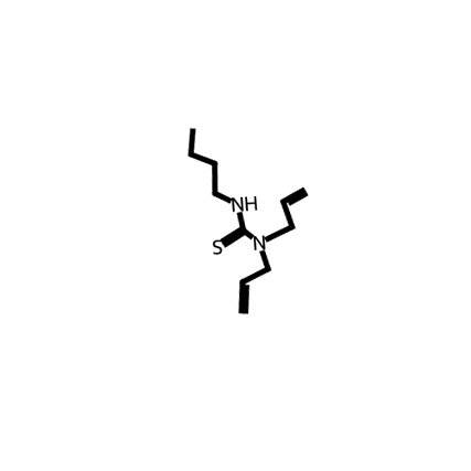 C=CCN(CC=C)C(=S)NCCCC